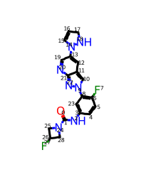 O=C(Nc1ccc(F)c(-n2cc3cc(N4C=CCN4)cnc3n2)c1)N1CC(F)C1